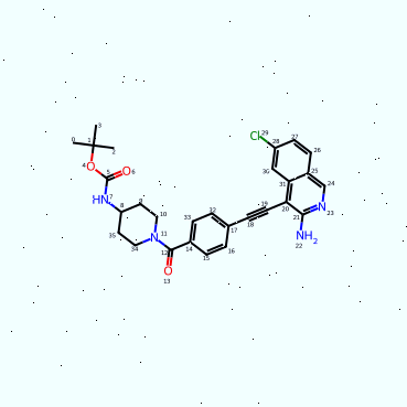 CC(C)(C)OC(=O)NC1CCN(C(=O)c2ccc(C#Cc3c(N)ncc4ccc(Cl)cc34)cc2)CC1